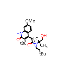 COc1ccc2c(CC(=O)N(CCC(C)(C)C)C(C)(C)CO)c(C(C)(C)C)c(=O)[nH]c2c1